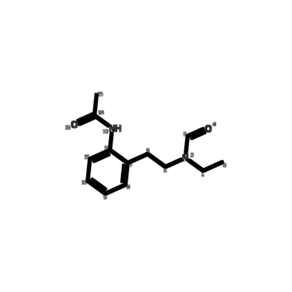 CCN(C=O)CCc1ccccc1NC(C)=O